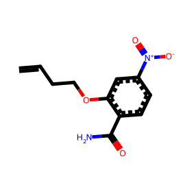 C=CCCOc1cc([N+](=O)[O-])ccc1C(N)=O